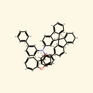 C1=CCc2c(oc3cccc(N(c4cccc(-c5ccccc5)c4)c4ccc5c(c4)C4(C6=CCCC=C6c6ccc(-c7ccccc7)cc64)c4ccccc4-5)c23)C=C1